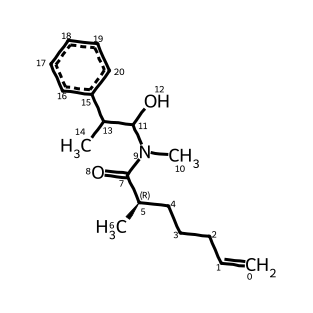 C=CCCC[C@@H](C)C(=O)N(C)C(O)C(C)c1ccccc1